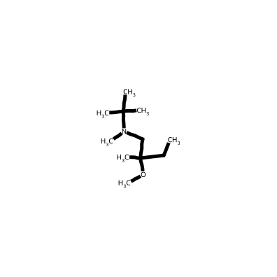 CCC(C)(CN(C)C(C)(C)C)OC